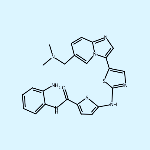 CN(C)Cc1ccc2ncc(-c3cnc(Nc4ccc(C(=O)Nc5ccccc5N)s4)s3)n2c1